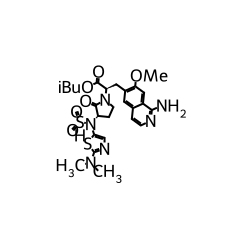 COc1cc2c(N)nccc2cc1C[C@H](C(=O)OCC(C)C)N1CC[C@H](N(c2cnc(N(C)C)s2)[SH](=O)=O)C1=O